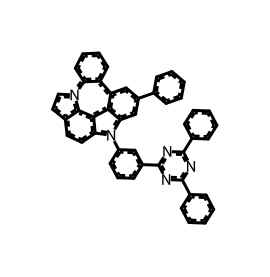 c1ccc(-c2cc3c4ccccc4n4ccc5ccc6c(c3c(c2)n6-c2cccc(-c3nc(-c6ccccc6)nc(-c6ccccc6)n3)c2)c54)cc1